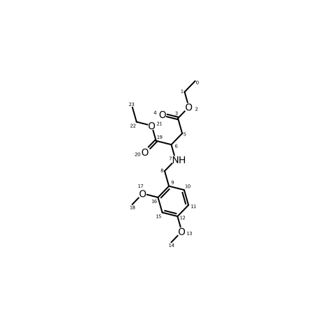 CCOC(=O)CC(NCc1ccc(OC)cc1OC)C(=O)OCC